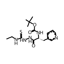 CCNC(=S)NNC(=O)[C@@H](Cc1cccnc1)NC(=O)OC(C)(C)C